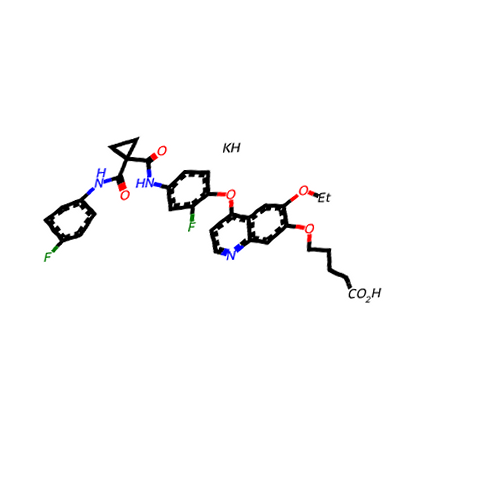 CCOc1cc2c(Oc3ccc(NC(=O)C4(C(=O)Nc5ccc(F)cc5)CC4)cc3F)ccnc2cc1OCCCCC(=O)O.[KH]